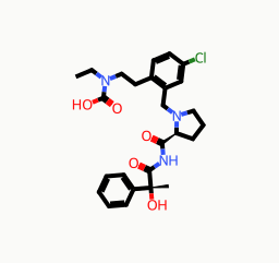 CCN(CCc1ccc(Cl)cc1CN1CCC[C@H]1C(=O)NC(=O)[C@](C)(O)c1ccccc1)C(=O)O